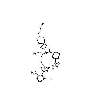 Cc1cccc(C)c1-c1cc2nc(n1)NS(=O)(=O)c1cccc(c1)C(=O)N(C1CC3(CCN(CCOC(C)C)CC3)C1)[C@H](CC(C)C)CO2